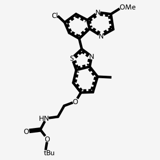 COc1cnc2c(-c3nc4c(C)cc(OCCNC(=O)OC(C)(C)C)cc4s3)cc(Cl)cc2n1